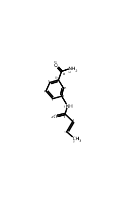 C/C=C/C(=O)Nc1cccc(C(N)=O)c1